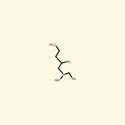 NC(CCC(=O)O)CN(C=O)CO